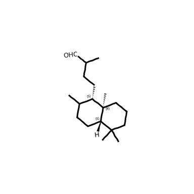 CC(C=O)CC[C@H]1C(C)CC[C@H]2C(C)(C)CCC[C@]12C